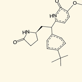 COc1ccc(C(C[C@H]2CCC(=O)N2)c2ccc(C(C)(C)C)cc2)[nH]c1=O